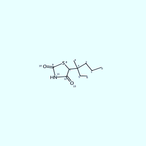 CCCC(C)(CC)C1SC(=O)NC1=O